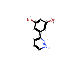 Brc1cc(Br)cc(-c2cc[c]nn2)c1